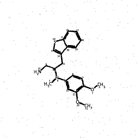 COc1ccc(N(C)C(CN)Cc2csc3ccccc23)cc1OC